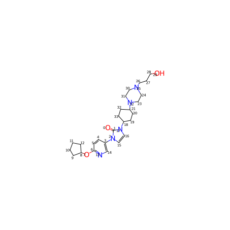 O=c1n(-c2ccc(OC3CCCC3)nc2)ccn1C1CCC(N2CCN(CCCO)CC2)CC1